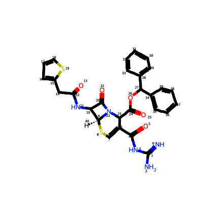 N=C(N)NC(=O)C1=CS[C@H]2C(NC(=O)Cc3cccs3)C(=O)N2C1C(=O)OC(c1ccccc1)c1ccccc1